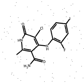 Cc1[nH]c(=O)c(Cl)c(Nc2ccc(I)cc2F)c1C(N)=O